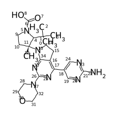 CC(C)(C)C1N(C(=O)O)CC[C@@]1(C)N1CCc2c(-c3cnc(N)nc3)nc(N3CCOCC3)nc21